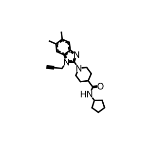 C#CCn1c(N2CCC(C(=O)NC3CCCC3)CC2)nc2cc(C)c(C)cc21